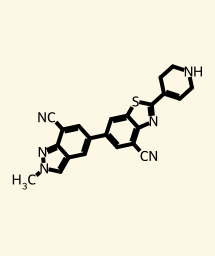 Cn1cc2cc(-c3cc(C#N)c4nc(C5=CCNCC5)sc4c3)cc(C#N)c2n1